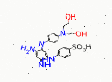 N=C1C=C(N)C(=Nc2ccc(N(CCO)CCO)cc2)C=C1Nc1ccc(S(=O)(=O)O)cc1